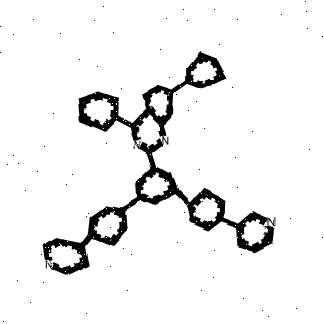 c1ccc(-c2ccc3c(-c4ccccc4)nc(-c4cc(-c5ccc(-c6ccncc6)cc5)cc(-c5ccc(-c6cccnc6)cc5)c4)nc3c2)cc1